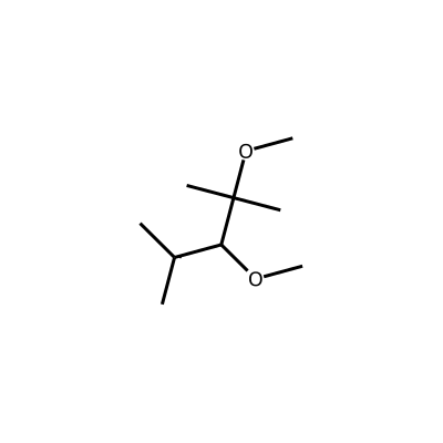 COC([C](C)C)C(C)(C)OC